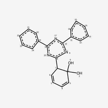 OC1(O)C=CC=CC1c1nc(-c2ccccc2)nc(-c2ccccc2)n1